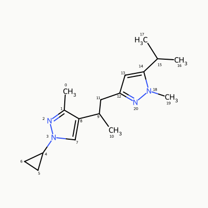 Cc1nn(C2CC2)cc1C(C)Cc1cc(C(C)C)n(C)n1